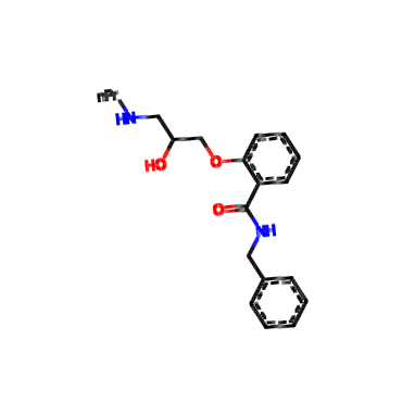 CCCNCC(O)COc1ccccc1C(=O)NCc1ccccc1